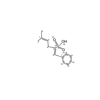 CC(C)=CCC(=Cc1ccccc1)S(=O)(=O)O